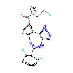 CN(CCF)C(=O)c1ccc2c(c1)-c1[nH]ncc1NC(c1c(F)cccc1F)=N2